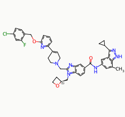 Cc1cc(NC(=O)c2ccc3c(c2)nc(CN2CC=C(c4cccc(OCc5ccc(Cl)cc5F)n4)CC2)n3C[C@@H]2CCO2)cc2c(C3CC3)n[nH]c12